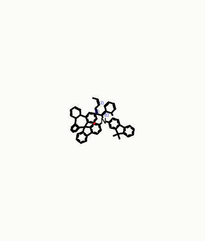 C\C=C/C=C\C(=C1/C=CC=CC1C)N(c1ccc2c(c1)C(C)(C)c1ccccc1-2)c1ccc2c(c1)C1(c3ccccc3-2)c2ccccc2C2C=CC=CC2c2ccccc21